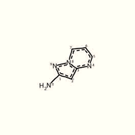 Nc1[c]c2ncccn2n1